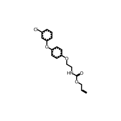 C=CCOC(=O)NCCOc1ccc(Oc2cccc(Cl)c2)cc1